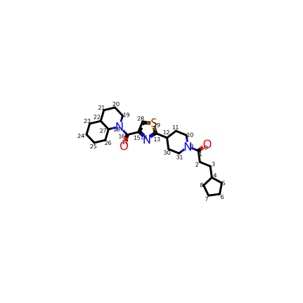 O=C(CCC1CCCC1)N1CCC(c2nc(C(=O)N3CCCC4CCCCC43)cs2)CC1